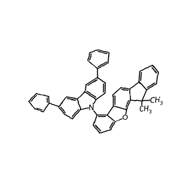 CC1(C)c2ccccc2-c2ccc3c(oc4cccc(-n5c6ccc(-c7ccccc7)cc6c6cc(-c7ccccc7)ccc65)c43)c21